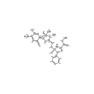 CC(C)OC(=O)[C@@H](C)NP(=O)(OC[C@H]1O[C@@H](n2cc(Cl)c(N)nc2=O)[C@](C)(O)[C@@H]1O)Oc1ccccc1